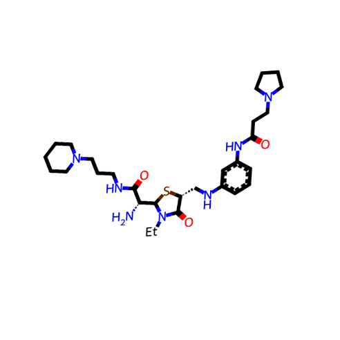 CCN1C(=O)[C@@H](CNc2cccc(NC(=O)CCN3CCCC3)c2)SC1[C@H](N)C(=O)NCCCN1CCCCC1